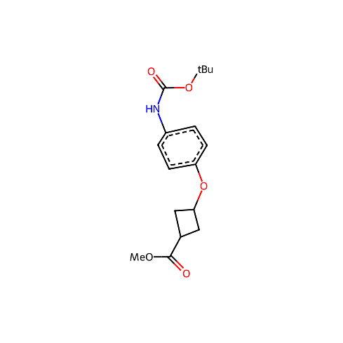 COC(=O)C1CC(Oc2ccc(NC(=O)OC(C)(C)C)cc2)C1